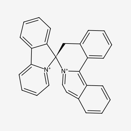 c1ccc2c(c1)C[C@@]1(c3ccccc3-c3cccc[n+]31)[n+]1ccc3ccccc3c1-2